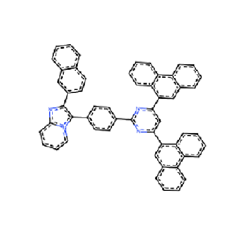 c1ccc2cc(-c3nc4ccccn4c3-c3ccc(-c4nc(-c5cc6ccccc6c6ccccc56)cc(-c5cc6ccccc6c6ccccc56)n4)cc3)ccc2c1